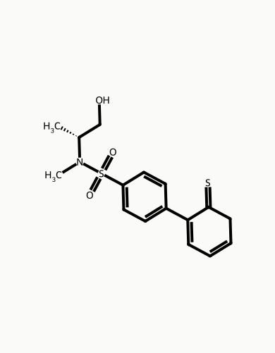 C[C@H](CO)N(C)S(=O)(=O)c1ccc(C2=CC=CCC2=S)cc1